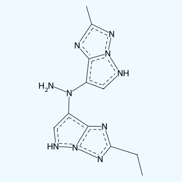 CCc1nc2c(N(N)c3c[nH]n4nc(C)nc34)c[nH]n2n1